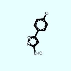 O=Cc1cc(-c2ccc(Cl)cc2)on1